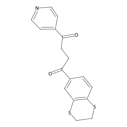 O=C(CCC(=O)c1ccc2c(c1)SCCS2)c1ccncc1